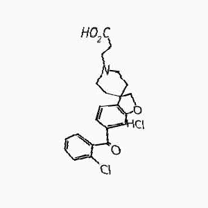 Cl.O=C(O)CCN1CCC2(CC1)COc1cc(C(=O)c3ccccc3Cl)ccc12